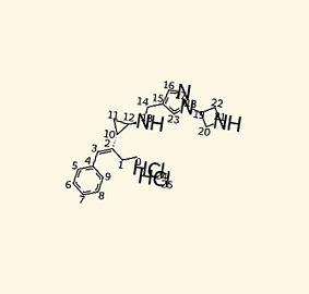 CC/C(=C\c1ccccc1)[C@@H]1C[C@H]1NCc1cnn(C2CNC2)c1.Cl.Cl